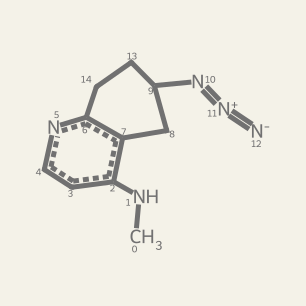 CNc1ccnc2c1CC(N=[N+]=[N-])CC2